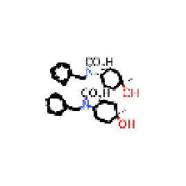 C[C@]1(O)CC[C@@H](N(Cc2ccccc2)C(=O)O)CC1.C[C@]1(O)CC[C@H](N(Cc2ccccc2)C(=O)O)CC1